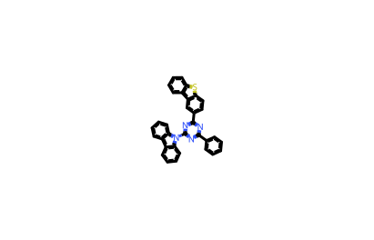 c1ccc(-c2nc(-c3ccc4sc5ccccc5c4c3)nc(-n3c4ccccc4c4ccccc43)n2)cc1